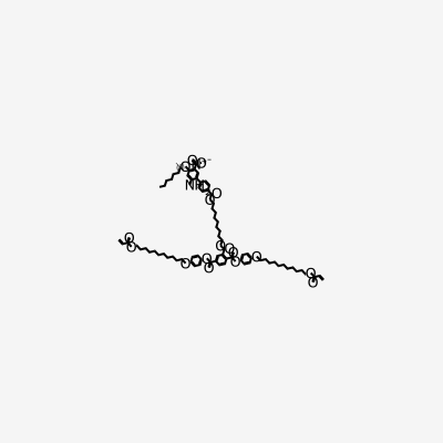 C=CC(=O)OCCCCCCCCCCCOc1ccc(OC(=O)c2ccc(C(=O)Oc3ccc(OCCCCCCCCCCCOC(=O)C=C)cc3)c(C(=O)OCCCCCCCCCOC(=O)c3ccc(-c4cc([N+](=O)[O-])c(O[C@@H](C)CCCCCC)cc4N)cc3)c2)cc1